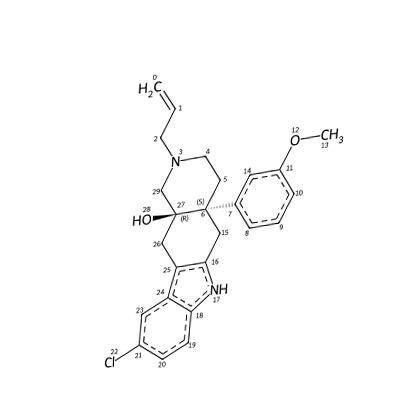 C=CCN1CC[C@@]2(c3cccc(OC)c3)Cc3[nH]c4ccc(Cl)cc4c3C[C@]2(O)C1